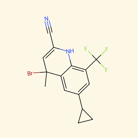 CC1(Br)C=C(C#N)Nc2c(C(F)(F)F)cc(C3CC3)cc21